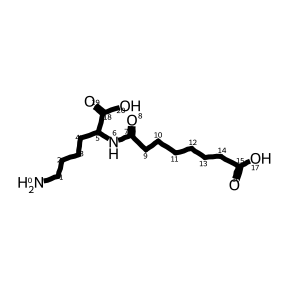 NCCCCC(NC(=O)CCCCCCC(=O)O)C(=O)O